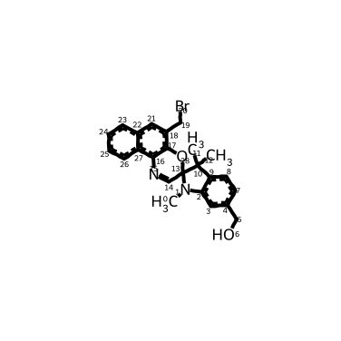 CN1c2cc(CO)ccc2C(C)(C)C12C=Nc1c(c(CBr)cc3ccccc13)O2